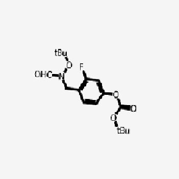 CC(C)(C)OC(=O)Oc1ccc(CN(C=O)OC(C)(C)C)c(F)c1